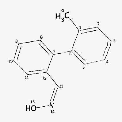 Cc1ccccc1-c1ccccc1/C=N\O